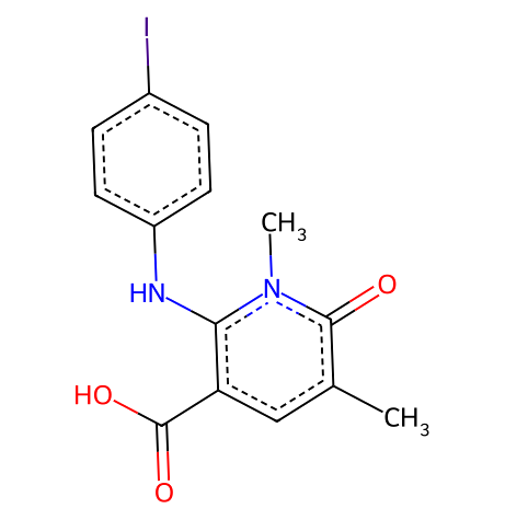 Cc1cc(C(=O)O)c(Nc2ccc(I)cc2)n(C)c1=O